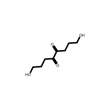 O=C(CCCO)C(=O)CCCO